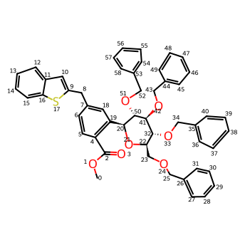 COC(=O)c1ccc(Cc2cc3ccccc3s2)cc1[C@@H]1O[C@H](COCc2ccccc2)[C@@H](OCc2ccccc2)[C@H](OCc2ccccc2)[C@H]1OCc1ccccc1